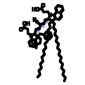 CCCCCCCCCCCCCCCCCCC1(CCCCCCCCCCCCCCCCC)\C(=C/C=C(C#N)/C=C/C2=[N+](CCC(=O)O)c3ccccc3C2(CCC(C)=O)Cc2ccccc2)N(CCC(=O)O)c2c1ccc1ccccc21